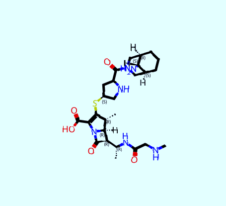 CNCC(=O)N[C@H](C)[C@H]1C(=O)N2C(C(=O)O)=C(S[C@@H]3CNC(C(=O)N4C[C@H]5CCC[C@@H](C4)[C@@H]5N)C3)[C@H](C)[C@@H]12